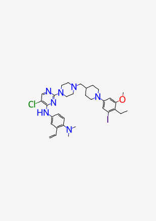 C=Cc1cc(Nc2nc(N3CCN(CC4CCN(c5cc(I)c(CC)c(OC)c5)CC4)CC3)ncc2Cl)ccc1N(C)C